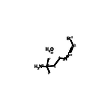 CCN=C=NCCC(C)(C)N.O